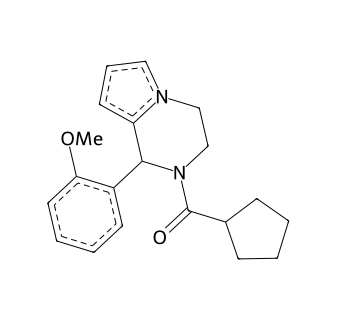 COc1ccccc1C1c2cccn2CCN1C(=O)C1CCCC1